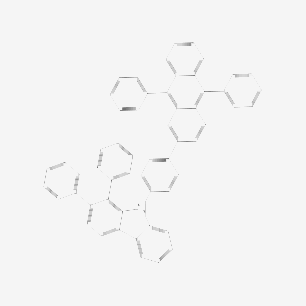 c1ccc(-c2ccc3c4ccccc4n(-c4ccc(-c5ccc6c(-c7ccccc7)c7ccccc7c(-c7ccccc7)c6c5)cc4)c3c2-c2ccccc2)cc1